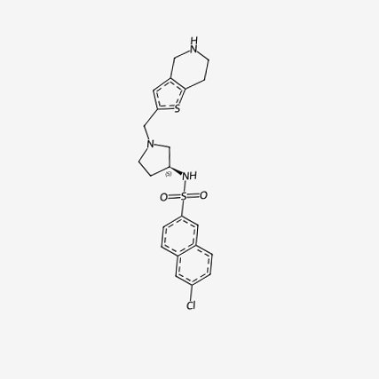 O=S(=O)(N[C@H]1CCN(Cc2cc3c(s2)CCNC3)C1)c1ccc2cc(Cl)ccc2c1